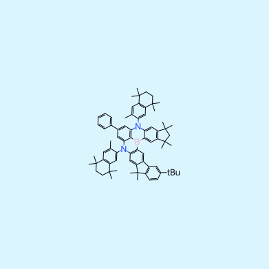 Cc1cc2c(cc1N1c3cc4c(cc3B3c5cc6c(cc5N(c5cc7c(cc5C)C(C)(C)CCC7(C)C)c5cc(-c7ccccc7)cc1c53)C(C)(C)c1ccc(C(C)(C)C)cc1-6)C(C)(C)CC4(C)C)C(C)(C)CCC2(C)C